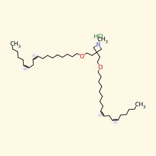 CCCCC/C=C\C/C=C\CCCCCCCCOCCC1(CCOCCCCCCCC/C=C\C/C=C\CCCCC)CN(C)C1.Cl